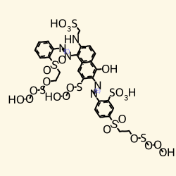 O=S(=O)(O)CNc1ccc2c(O)c(/N=N/c3ccc(S(=O)(=O)CCOSOOO)cc3S(=O)(=O)O)c(SOOO)cc2c1/N=N/c1ccccc1S(=O)(=O)CCOSOOO